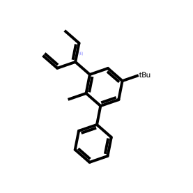 C=C/C(=C\C)c1cc(C(C)(C)C)cc(-c2ccccc2)c1C